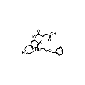 Clc1ccc2c(c1NCCOCc1ccccc1)CCNCC2.O=C(O)CCC(=O)O